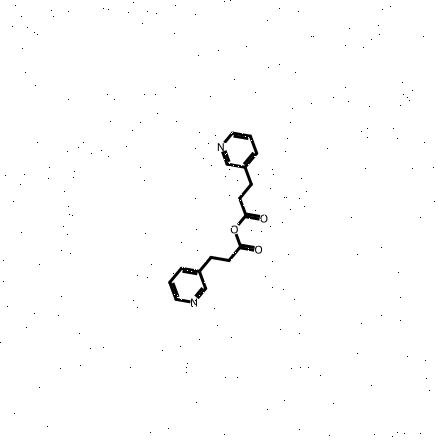 O=C(CCc1cccnc1)OC(=O)CCc1cccnc1